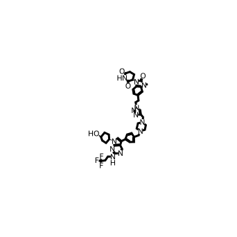 Cn1c(=O)n([C@H]2CCC(=O)NC2=O)c2ccc(CCn3cc(CN4CCN(Cc5ccc(-c6cn([C@H]7CC[C@H](O)CC7)c7nc(NCCC(F)(F)F)ncc67)cc5)CC4)nn3)cc21